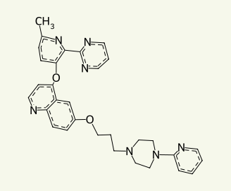 Cc1ccc(Oc2ccnc3ccc(OCCCN4CCN(c5ccccn5)CC4)cc23)c(-c2ncccn2)n1